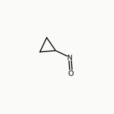 O=NC1CC1